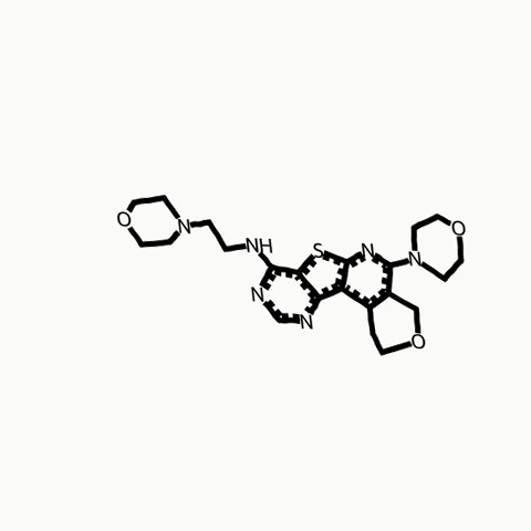 c1nc(NCCN2CCOCC2)c2sc3nc(N4CCOCC4)c4c(c3c2n1)CCOC4